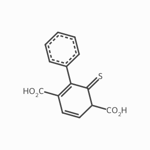 O=C(O)C1=C(c2ccccc2)C(=S)C(C(=O)O)C=C1